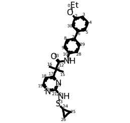 CCOc1cccc(-c2ccc(NC(=O)C(C)(C)c3ccnc(NSC4CC4)n3)cc2)c1